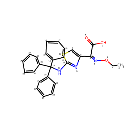 CCON=C(C(=O)O)c1csc(NC(c2ccccc2)(c2ccccc2)c2ccccc2)n1